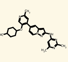 Cc1cc(-c2ccn3nc(Nc4cc(C)nc(C)n4)cc3c2)c(OC2CCC(C#N)CC2)cn1